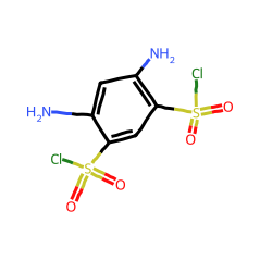 Nc1cc(N)c(S(=O)(=O)Cl)cc1S(=O)(=O)Cl